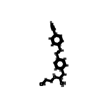 N#Cc1ccc(N=Nc2ccc(CC(O)OCCCl)cc2)cc1